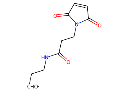 O=[C]CCNC(=O)CCN1C(=O)C=CC1=O